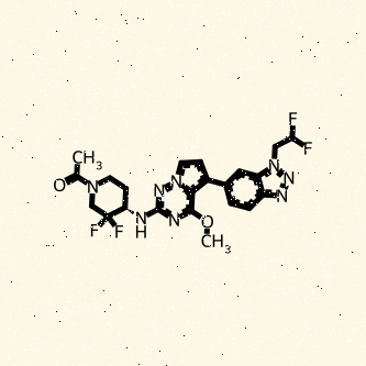 COc1nc(N[C@H]2CCN(C(C)=O)CC2(F)F)nn2ccc(-c3ccc4nnn(CC(F)F)c4c3)c12